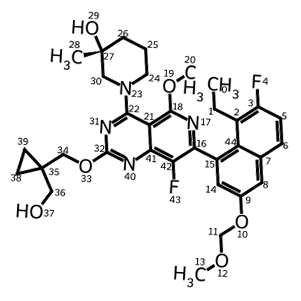 CCc1c(F)ccc2cc(OCOC)cc(-c3nc(OC)c4c(N5CCC[C@@](C)(O)C5)nc(OCC5(CO)CC5)nc4c3F)c12